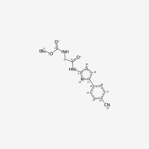 CC(C)(C)OC(=O)NCC(=O)Nc1nc(-c2ccc(C#N)cc2)cs1